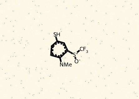 CNc1ccc(S)cc1[S+]([O-])C(F)(F)F